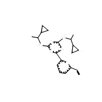 CC(Nc1nc(NC(C)C2CC2)nc(-c2cccc(C=O)n2)n1)C1CC1